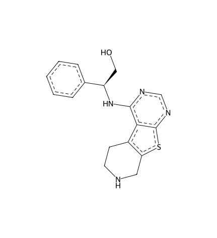 OC[C@@H](Nc1ncnc2sc3c(c12)CCNC3)c1ccccc1